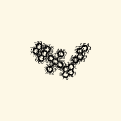 c1cc2ccc3cccc4ccc(c1)c2c34.c1ccc(-c2c3ccccc3c(-c3ccccc3)c3ccccc23)cc1.c1ccc2c(c1)ccc1c3ccccc3ccc21.c1ccc2cc3ccccc3cc2c1.c1ccc2ccccc2c1